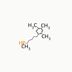 CPCCCCCc1cc(C)c(C)cc1C